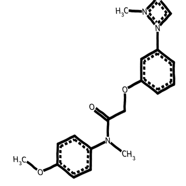 COc1ccc(N(C)C(=O)COc2cccc(-n3cnn3C)c2)cc1